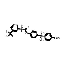 COc1ccc(C(c2ccc(OC(=O)C(F)(F)c3cccc(C(F)(F)C(C)=O)c3)cc2)(C(F)(F)F)C(F)(F)F)cc1